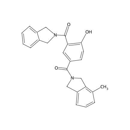 Cc1cccc2c1CN(C(=O)c1ccc(O)c(C(=O)N3Cc4ccccc4C3)c1)C2